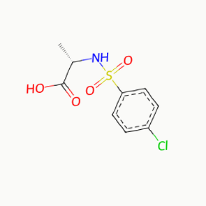 C[C@H](NS(=O)(=O)c1ccc(Cl)cc1)C(=O)O